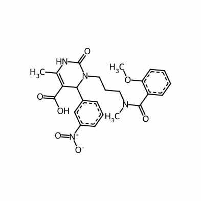 COc1ccccc1C(=O)N(C)CCCN1C(=O)NC(C)=C(C(=O)O)C1c1cccc([N+](=O)[O-])c1